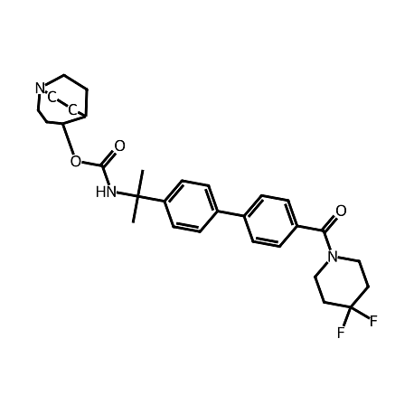 CC(C)(NC(=O)OC1CCN2CCC1CC2)c1ccc(-c2ccc(C(=O)N3CCC(F)(F)CC3)cc2)cc1